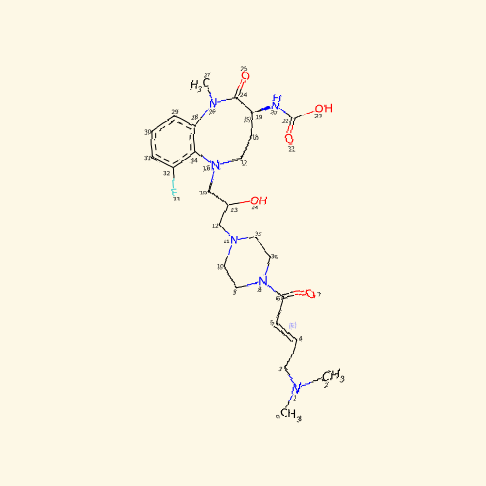 CN(C)C/C=C/C(=O)N1CCN(CC(O)CN2CC[C@H](NC(=O)O)C(=O)N(C)c3cccc(F)c32)CC1